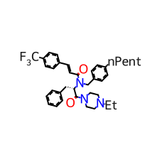 CCCCCc1ccc(CN(C(=O)/C=C/c2ccc(C(F)(F)F)cc2)[C@@H](Cc2ccccc2)C(=O)N2CCN(CC)CC2)cc1